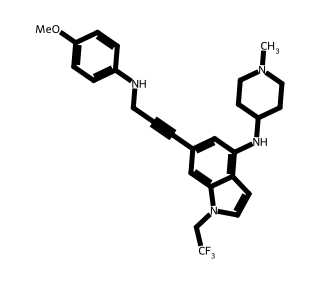 COc1ccc(NCC#Cc2cc(NC3CCN(C)CC3)c3ccn(CC(F)(F)F)c3c2)cc1